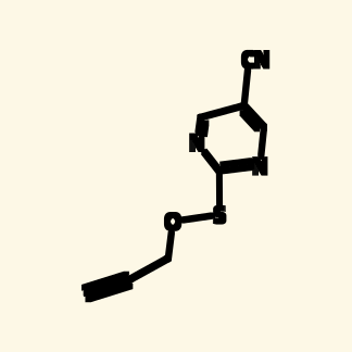 C#CCOSc1ncc(C#N)cn1